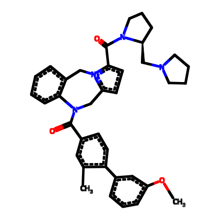 COc1cccc(-c2ccc(C(=O)N3Cc4ccc(C(=O)N5CCC[C@H]5CN5CCCC5)n4Cc4ccccc43)cc2C)c1